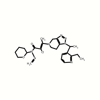 C=NN(C(=O)/C(Cl)=C(\C)N1CCc2c(nnn2C(C)c2cccnc2CC)C1)C1CCCCO1